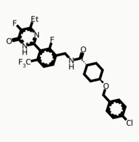 CCc1nc(-c2c(C(F)(F)F)ccc(CNC(=O)[C@H]3CC[C@H](OCc4ccc(Cl)cc4)CC3)c2F)[nH]c(=O)c1F